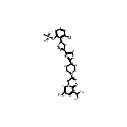 CS(=O)(=O)Oc1cccc(Cl)c1C1CC(c2csc(C3CCN(C(=O)Cn4cc(Br)cc(C(F)F)c4=O)CC3)n2)=NO1